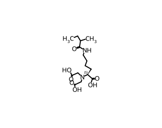 CCC(C)C(=O)NCCCC[C@@H](C(=O)O)N(CC(=O)O)CC(=O)O